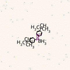 [BH3-][PH+](c1ccc(C(C)(C)C)cc1)c1ccc(C(C)(C)C)cc1